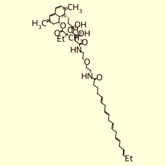 CCC=CCC=CCC=CCC=CCC=CCCCC(=O)NCCOCCNC(=O)C[C@H](O)C[C@@H](O)CC[C@@H]1C2C(=C[C@H](C)CC2OC(=O)C(C)(C)CC)C=C[C@@H]1C